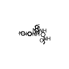 C=CC(=O)N[C@H]1CC[C@@H](Nc2nc(Nc3ccc(N4CCN(C)CC4)cc3)nc3ccsc23)CC1